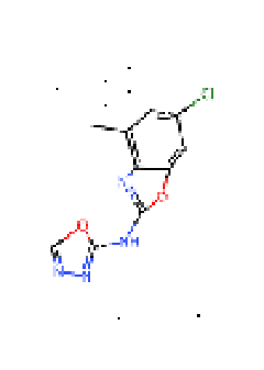 Cc1cc(Cl)cc2oc(Nc3nnco3)nc12